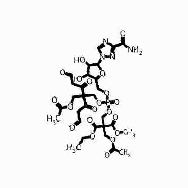 CCOC(=O)C(COC(C)=O)(COP(=O)(OCC1OC(n2cnc(C(N)=O)n2)C(O)C1O)OCC(COC(C)=O)(C(=O)CC=O)C(=O)CC=O)C(=O)OC